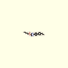 CCCCCC(=O)Oc1cnc(-c2ccc(C3CCC(CCC)CC3)cc2)nc1